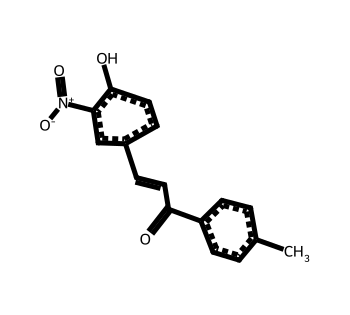 Cc1ccc(C(=O)C=Cc2ccc(O)c([N+](=O)[O-])c2)cc1